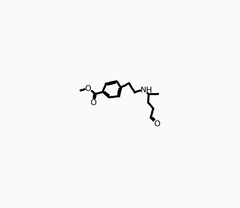 COC(=O)c1ccc(CCNC(C)CCC=O)cc1